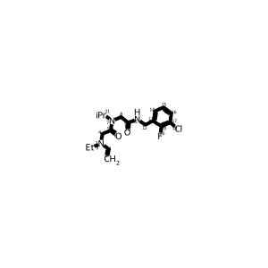 C=CN(CC)CC(=O)N(CC(=O)NCc1cccc(Cl)c1F)C(C)C